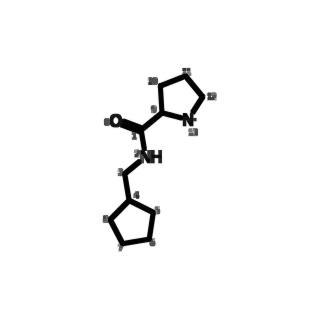 O=C(NCC1CCCC1)C1CCC[N]1